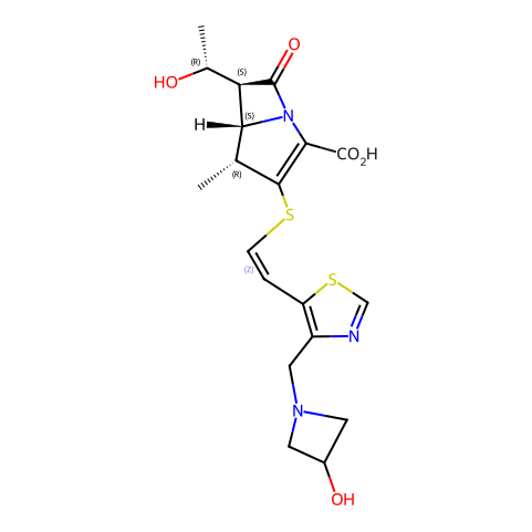 C[C@@H](O)[C@H]1C(=O)N2C(C(=O)O)=C(S/C=C\c3scnc3CN3CC(O)C3)[C@H](C)[C@H]12